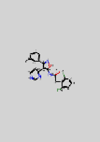 Cc1cccc(-c2noc(NC(=O)Cc3c(F)cccc3Cl)c2-c2ccncn2)c1